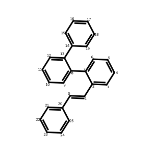 C(=Cc1ccccc1-c1ccccc1-c1ccccc1)c1ccccc1